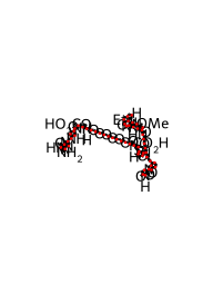 CC[C@@H]1C(=O)N(C)c2cnc(Nc3ccc(C(=O)NCCCOCCCN(CCC#Cc4cccc5c4CN(C4CCC(=O)NC4=O)C5=O)C(=O)OC(C)C(C)SSC[C@H](NC(=O)CCOCCOCCOCCOCCOCCOCCNC(=O)CC[C@H](NC(=O)c4ccc(NCc5cnc6nc(N)[nH]c(=O)c6n5)cc4)C(=O)O)C(=O)O)cc3OC)nc2N1C1CCCC1